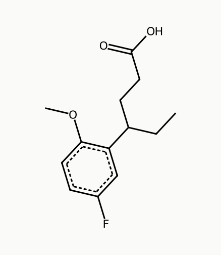 CCC(CCC(=O)O)c1cc(F)ccc1OC